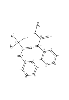 CC(=O)C(Cl)(Cl)C(=O)Nc1ccccc1.CC(=O)CC(=O)Nc1ccccc1